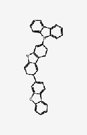 C1=C(n2c3ccccc3c3ccccc32)CCc2c1oc1c2=CC(c2ccc3c(c2)oc2ccccc23)CC=1